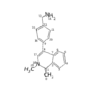 C=C1c2ccccc2C(c2ccc(CN)cc2)=CN1C